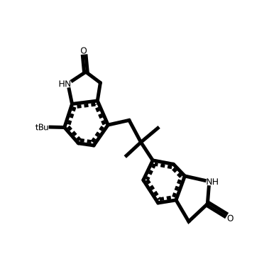 CC(C)(C)c1ccc(CC(C)(C)c2ccc3c(c2)NC(=O)C3)c2c1NC(=O)C2